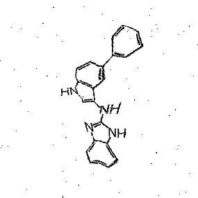 c1ccc(-c2ccc3[nH]cc(Nc4nc5ccccc5[nH]4)c3c2)cc1